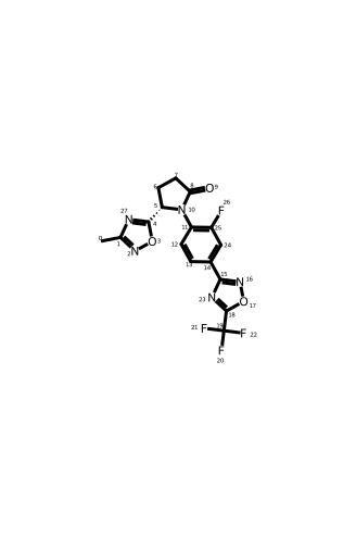 Cc1noc([C@@H]2CCC(=O)N2c2ccc(-c3noc(C(F)(F)F)n3)cc2F)n1